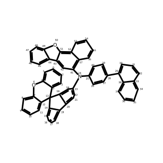 c1ccc2c(c1)Oc1ccccc1C21c2ccccc2-c2ccc(N(c3ccc(-c4cccc5ccccc45)cc3)c3cc4c5ccccc5oc4c4ccccc34)cc21